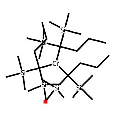 CCC[C]([Cr]([C](CCC)([Si](C)(C)C)[Si](C)(C)C)[C](CCC)([Si](C)(C)C)[Si](C)(C)C)([Si](C)(C)C)[Si](C)(C)C